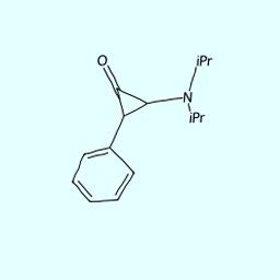 CC(C)N(C(C)C)C1C(=O)C1c1ccccc1